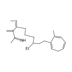 C=C(C(C)=N)/C(=C\C)CCCC(CC)CCC1=CCC=CC=C1C